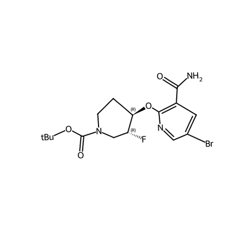 CC(C)(C)OC(=O)N1CC[C@@H](Oc2ncc(Br)cc2C(N)=O)[C@H](F)C1